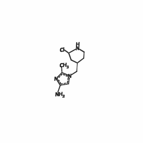 Cc1nc(N)cn1CC1CCNC(Cl)C1